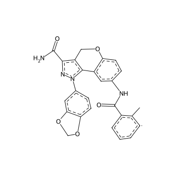 Cc1[c]cccc1C(=O)Nc1ccc2c(c1)-c1c(c(C(N)=O)nn1-c1ccc3c(c1)OCO3)CO2